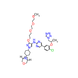 COCCOCCOCCCOc1nn(C2CCC(N3[C@@H]4CC[C@H]3COC4)CC2)cc1Nc1ncc(-c2ccc(Cl)c(OC(C)Cn3cnnn3)c2)cn1